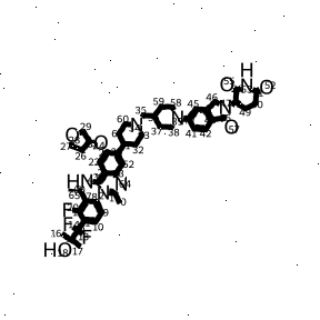 Cc1nc(N[C@H](C)c2cccc(C(F)(F)C(C)(C)O)c2F)c2cc(O[C@H]3CCOC3)c(C3CCN(CC4CCN(c5ccc6c(c5)CN(C5CCC(=O)NC5=O)C6=O)CC4)CC3)cc2n1